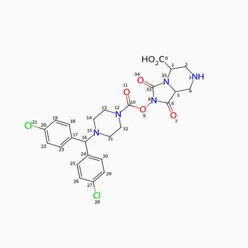 O=C(O)C1CNCC2C(=O)N(OC(=O)N3CCN(C(c4ccc(Cl)cc4)c4ccc(Cl)cc4)CC3)C(=O)N12